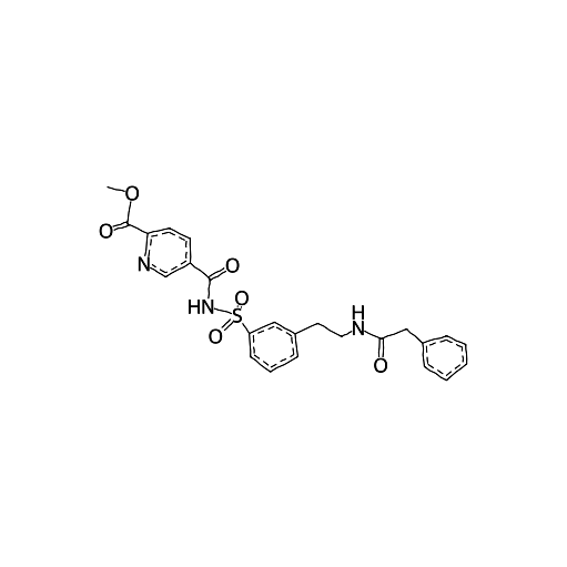 COC(=O)c1ccc(C(=O)NS(=O)(=O)c2cccc(CCNC(=O)Cc3ccccc3)c2)cn1